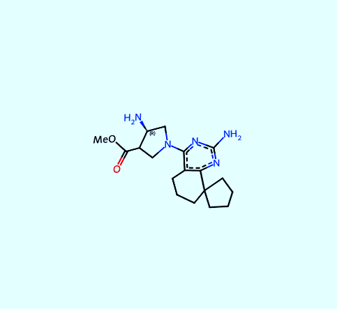 COC(=O)C1CN(c2nc(N)nc3c2CCCC32CCCC2)C[C@@H]1N